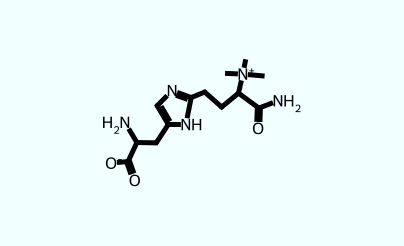 C[N+](C)(C)C(CCc1ncc(CC(N)C(=O)[O-])[nH]1)C(N)=O